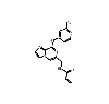 C=CC(=O)NCc1cn2ccnc2c(Nc2ccnc(C(F)(F)F)c2)n1